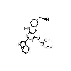 N#CC[C@H]1CC[C@H](Nc2nc(-c3cnn4ccccc34)nc(OC[C@@H](O)CO)c2F)CC1